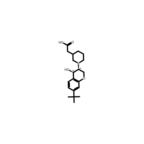 CC(C)(C)c1ccc2c(c1)OC[C@H](N1CCCC(CC(=O)O)C1)[C@@H]2O